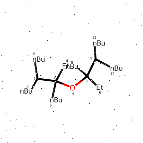 CCCCC(CCCC)C(CC)(CCCC)OC(CC)(CCCC)C(CCCC)CCCC